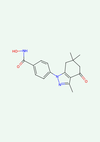 Cc1nn(-c2ccc(C(=O)NO)cc2)c2c1C(=O)CC(C)(C)C2